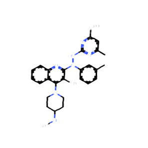 COc1cc(C)nc(NN(c2cccc(C)c2)c2nc3ccccc3c(N3CCC(NC(C)(C)C)CC3)c2C#N)n1